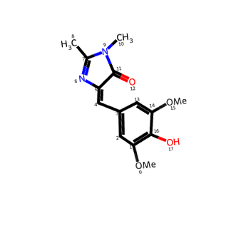 COc1cc(C=C2N=C(C)N(C)C2=O)cc(OC)c1O